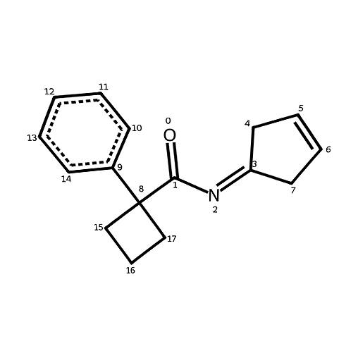 O=C(N=C1CC=CC1)C1(c2ccccc2)CCC1